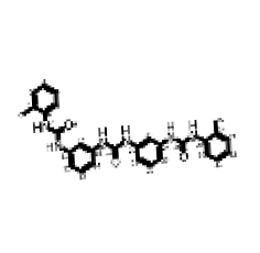 Cc1ccccc1NC(=O)Nc1cccc(NC(=O)Nc2cccc(NC(=O)Nc3ccccc3C)c2)c1